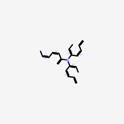 C=C/C=C\C(=C/C)N(C(=C)/C=C\C=C/C)C(/C=C\C=C)=C/C